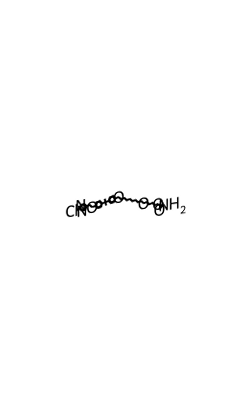 CC(C)(c1ccc(OCCCCCCCCOCCCCOC(N)=O)cc1)c1ccc(OCc2cnc(Cl)nc2)cc1